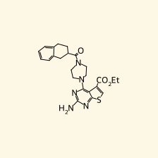 CCOC(=O)c1csc2nc(N)nc(N3CCN(C(=O)C4CCc5ccccc5C4)CC3)c12